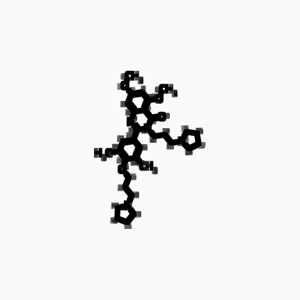 COc1cc(OC)c2c(=O)n(CCCN3CCCC3)c(-c3cc(C)c(OCCCN4CCCC4)c(C)c3)nc2c1